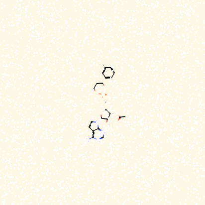 CC(=O)O[C@@H]1[C@@H](COP2(=O)OCC[C@H](c3cccc(Cl)c3)O2)O[C@@H](n2ccc3c(N)ncnc32)[C@]1(C)O